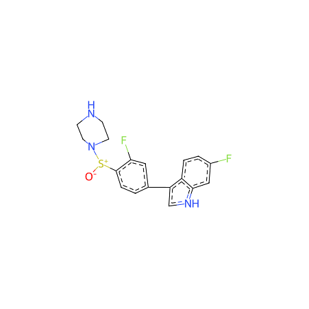 [O-][S+](c1ccc(-c2c[nH]c3cc(F)ccc23)cc1F)N1CCNCC1